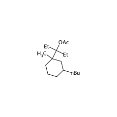 CCCCC1CCCC(C)(C(CC)(CC)OC(C)=O)C1